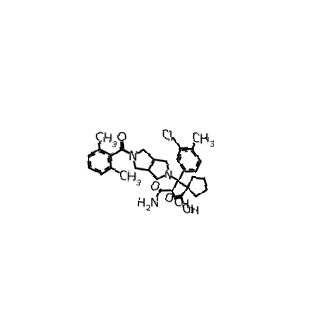 Cc1ccc(C(C(C)C(N)=O)(N2CC3CN(C(=O)c4c(C)cccc4C)CC3C2)C2(C(=O)O)CCCC2)cc1Cl